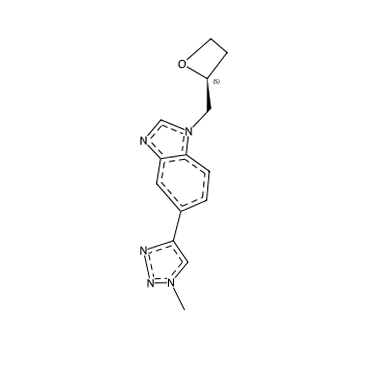 Cn1cc(-c2ccc3c(c2)ncn3C[C@@H]2CCO2)nn1